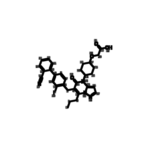 CCCc1c(Cc2ccc(-c3ccccc3C#N)cc2F)c(=O)n(C2CCC(OCC(=O)O)CC2)c2ccnn12